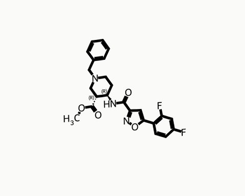 COC(=O)[C@@H]1CN(Cc2ccccc2)CC[C@H]1NC(=O)c1cc(-c2ccc(F)cc2F)on1